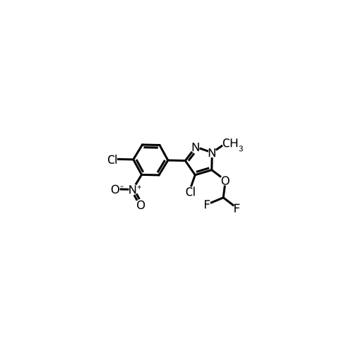 Cn1nc(-c2ccc(Cl)c([N+](=O)[O-])c2)c(Cl)c1OC(F)F